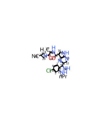 CCCNc1cc(Cl)ccc1C(=N)c1cnc2[nH]cc(C(=O)N[C@H](C)C(=O)N3CC(C#N)C3)c2n1